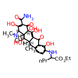 CCCC(Nc1ccc2c(c1O)C(=O)C1=C(O)[C@@]3(O)C(=O)C(C(N)=O)=C(O)[C@H](N(C)C)[C@H]3[C@H](O)[C@H]1[C@@H]2C)C(=O)OCC